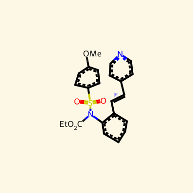 CCOC(=O)N(c1ccccc1/C=C/c1ccncc1)S(=O)(=O)c1ccc(OC)cc1